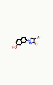 CCCC1CN(c2ccc3ccc(O)cc3c2)NC1=O